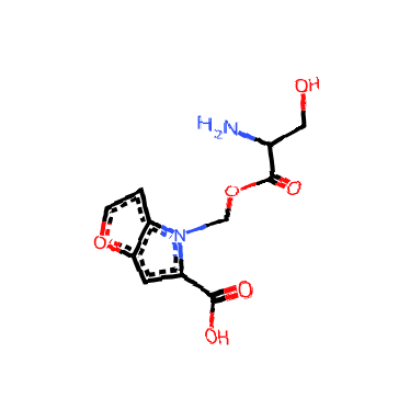 NC(CO)C(=O)OCn1c(C(=O)O)cc2occc21